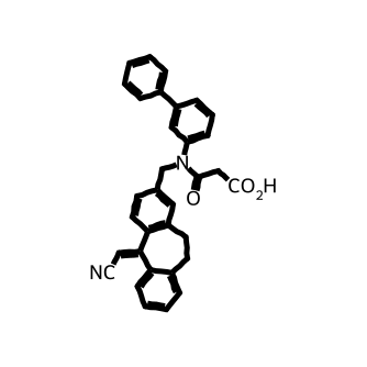 N#C/C=C1\c2ccccc2CCc2cc(CN(C(=O)CC(=O)O)c3cccc(-c4ccccc4)c3)ccc21